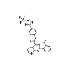 CC(C)c1ccccc1-c1nc(NCc2ccc(-c3nc(C(F)(F)F)cn3C)cc2)c2cccnc2n1